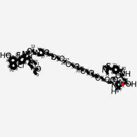 C=CC(=O)N1CCN(c2nc(O[C@H](C)CN3CCC(OCCOCCOCCOCCOCCOCCOCCOCCOCC(=O)N[C@H](C(=O)N4C[C@H](O)C[C@H]4C(=O)N[C@@H](C)c4ccc(-c5scnc5C)cc4)C(C)(C)C)CC3)nc3c(F)c(-c4cc(O)cc5ccccc45)c(Cl)cc23)CC1